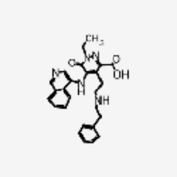 CCn1nc(C(=O)O)c(CCNCCc2ccccc2)c(Nc2cncc3ccccc23)c1=O